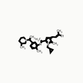 C=C(c1ccc(C)c(/N=C(\C)c2c/c(=C/C=C(\C)CC)c(=C)n2CC2CC2)c1)N1CCCC(C)C1